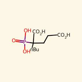 CCCCC(CCC(=O)O)(C(=O)O)P(=O)(O)O